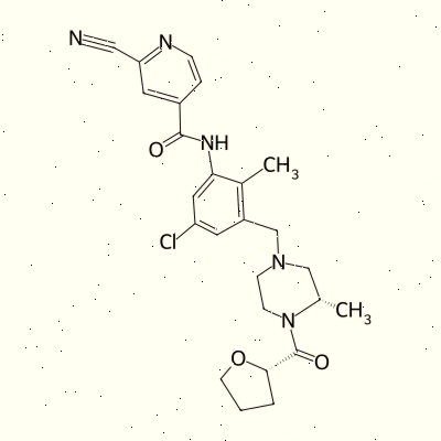 Cc1c(CN2CCN(C(=O)[C@@H]3CCCO3)[C@@H](C)C2)cc(Cl)cc1NC(=O)c1ccnc(C#N)c1